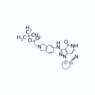 CC(C)(C)OC(=O)CN1Cc2ccc(Nc3nn([C@H]4CCCC[C@@H]4C#N)c4cc[nH]c(=O)c34)cc2C1